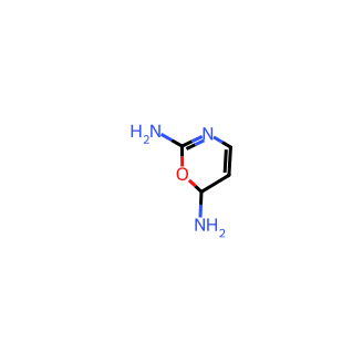 NC1=NC=CC(N)O1